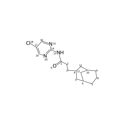 O=C(CCC1CC2CCCC(C2)C1)Nc1ncc(Cl)cn1